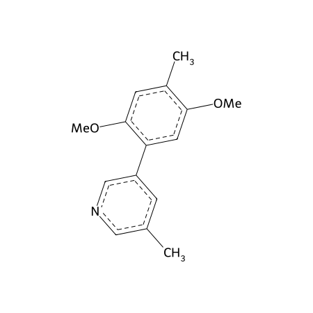 COc1cc(-c2cncc(C)c2)c(OC)cc1C